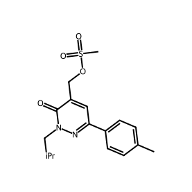 Cc1ccc(-c2cc(COS(C)(=O)=O)c(=O)n(CC(C)C)n2)cc1